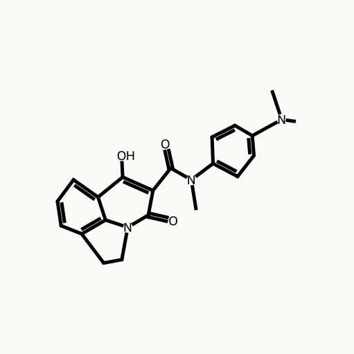 CN(C)c1ccc(N(C)C(=O)c2c(O)c3cccc4c3n(c2=O)CC4)cc1